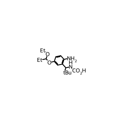 CCOC(CC)Oc1ccc(N)c(C(NC(=O)O)C(C)(C)C)c1